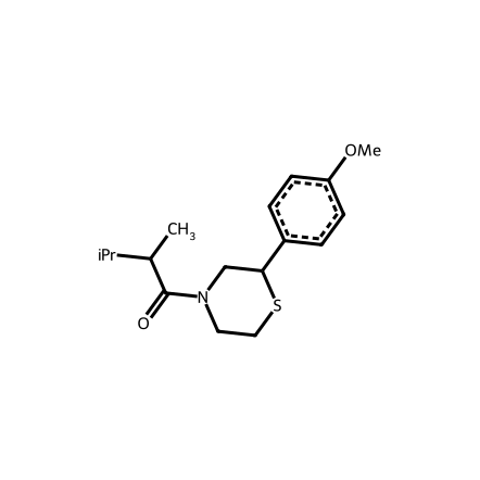 COc1ccc(C2CN(C(=O)C(C)C(C)C)CCS2)cc1